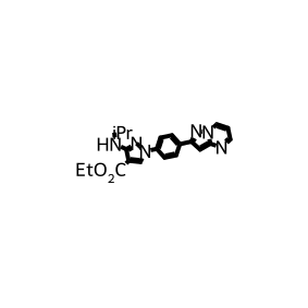 CCOC(=O)c1cn(-c2ccc(-c3cc4ncccn4n3)cc2)nc1NC(C)C